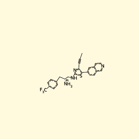 CC#Cc1nc(NC[C@H](N)Cc2ccc(C(F)(F)F)cc2)sc1-c1ccc2cnccc2c1